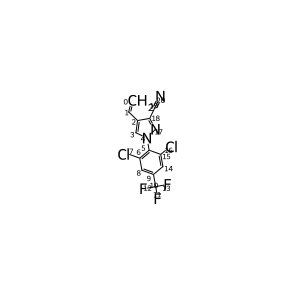 C=Cc1cn(-c2c(Cl)cc(C(F)(F)F)cc2Cl)nc1C#N